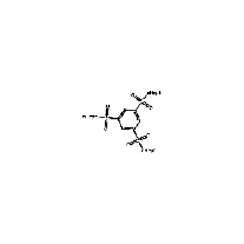 CCCCCCCS(=O)(=O)c1cc(S(=O)(=O)CCCCCCC)cc(S(=O)(=O)CCCCCCC)c1